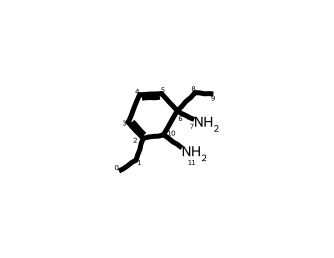 CCC1=CC=CC(N)(CC)C1N